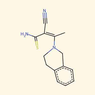 CC(=C(C#N)C(N)=S)N1CCc2ccccc2C1